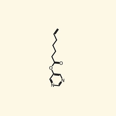 C=CCCCCC(=O)Oc1cncnc1